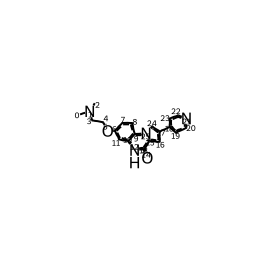 CN(C)CCOc1ccc2c(c1)[nH]c(=O)c1cc(-c3ccncc3)cn12